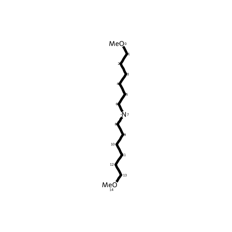 COCCCCCC[N]CCCCCCOC